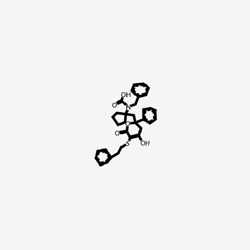 O=C1OC(CC2(N(Cc3ccccc3)C(=O)O)CCCC2)(c2ccccc2)CC(O)=C1SCCc1ccccc1